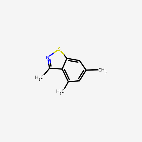 Cc1cc(C)c2c(C)nsc2c1